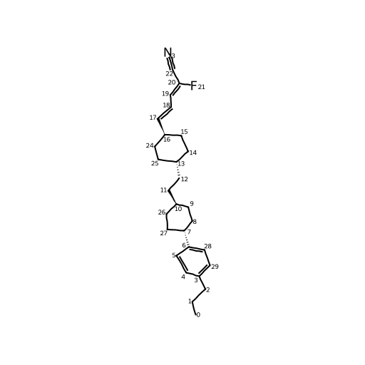 CCCc1ccc([C@H]2CC[C@H](CC[C@H]3CC[C@H](/C=C/C=C(\F)C#N)CC3)CC2)cc1